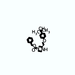 CC(C)(C)c1ccc(OCC[C@@H]2CN(C(=O)OCc3ccccc3)CCN2)cc1